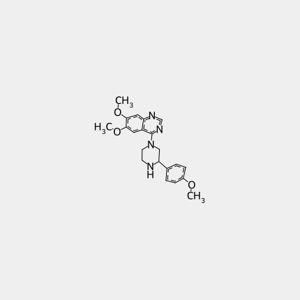 COc1ccc(C2CN(c3ncnc4cc(OC)c(OC)cc34)CCN2)cc1